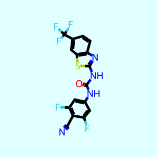 N#Cc1c(F)cc(NC(=O)Nc2nc3ccc(C(F)(F)F)cc3s2)cc1F